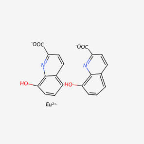 O=C([O-])c1ccc2cccc(O)c2n1.O=C([O-])c1ccc2cccc(O)c2n1.[Eu+2]